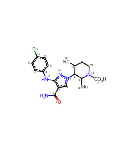 CC(C)(C)C1C(n2cc(C(N)=O)c(Nc3ccc(F)cc3)n2)C(C#N)CCN1C(=O)O